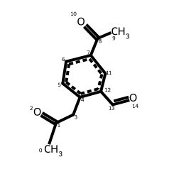 CC(=O)Cc1ccc(C(C)=O)cc1C=O